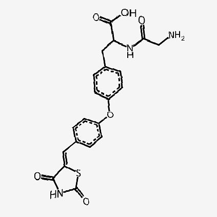 NCC(=O)NC(Cc1ccc(Oc2ccc(/C=C3\SC(=O)NC3=O)cc2)cc1)C(=O)O